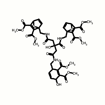 COC(=O)C1=C(C(=O)OC)C(CNC(=O)CC(O)(CC(=O)NCC23C=CC(O2)C(C(=O)OC)=C3C(=O)OC)C(=O)NCC23C=CC(O2)C(C(=O)OC)=C3C(=O)OC)C=CC1O